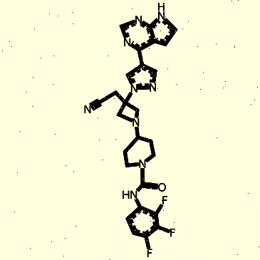 N#CCC1(n2cc(-c3ncnc4[nH]ccc34)cn2)CN(C2CCN(C(=O)Nc3ccc(F)c(F)c3F)CC2)C1